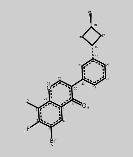 Cc1c(F)c(Br)cc2c(=O)c(-c3cccc([C@H]4C[C@H](C)C4)c3)coc12